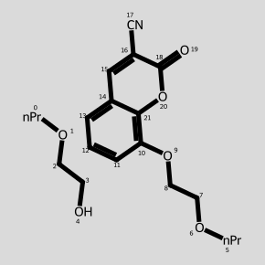 CCCOCCO.CCCOCCOc1cccc2cc(C#N)c(=O)oc12